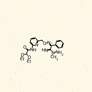 CCOC(OCC)C(=O)Nc1cccc(CO/N=C(\C(=N)N(C)N)c2ccccc2)n1